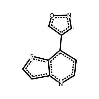 [c]1nocc1-c1ccnc2ccsc12